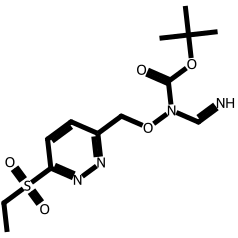 CCS(=O)(=O)c1ccc(CON(C=N)C(=O)OC(C)(C)C)nn1